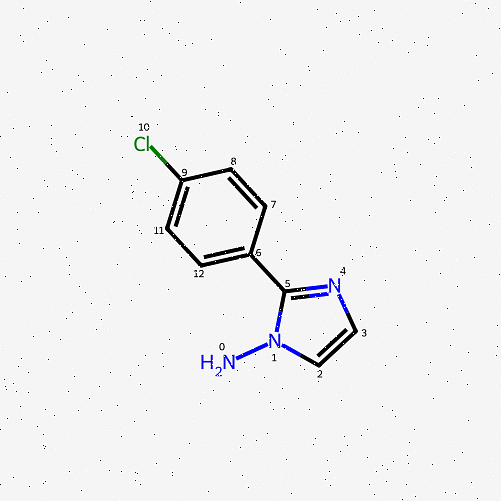 Nn1ccnc1-c1ccc(Cl)cc1